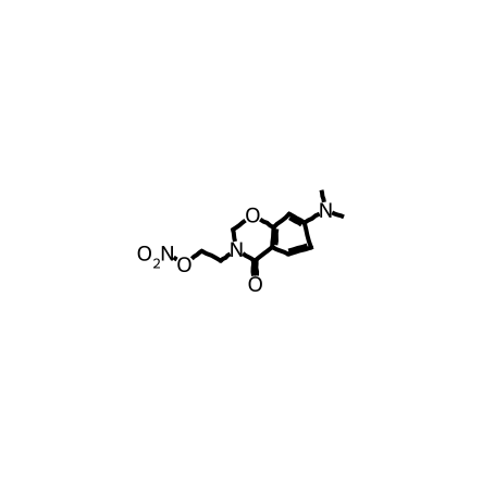 CN(C)c1ccc2c(c1)OCN(CCO[N+](=O)[O-])C2=O